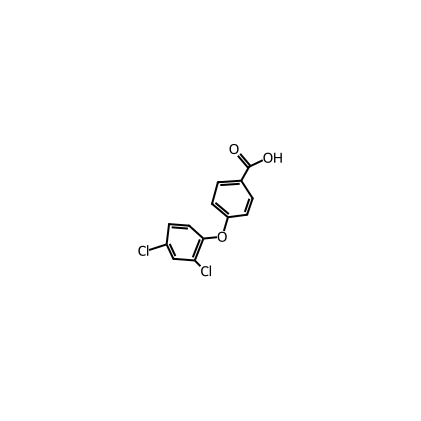 O=C(O)c1ccc(Oc2ccc(Cl)cc2Cl)cc1